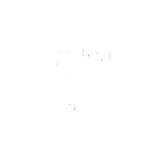 O=P(O)(O)c1cc[nH]n1.c1ccc2ncccc2c1